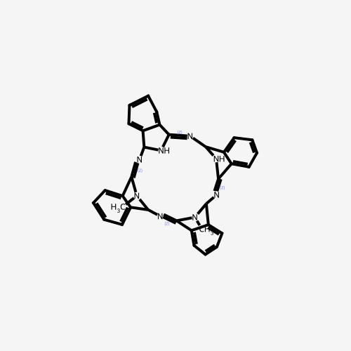 CN1/C2=N\C3c4ccccc4/C(=N/C4N/C(=N\C5N/C(=N\C1c1ccccc12)c1ccccc15)c1ccccc14)N3C